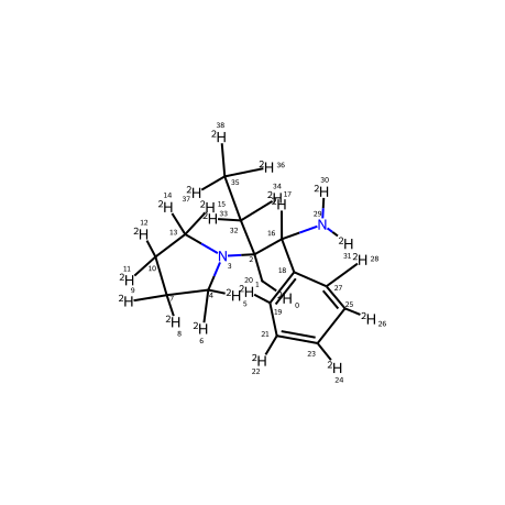 [2H]CC(N1C([2H])([2H])C([2H])([2H])C([2H])([2H])C1([2H])[2H])(C([2H])(c1c([2H])c([2H])c([2H])c([2H])c1[2H])N([2H])[2H])C([2H])([2H])C([2H])([2H])[2H]